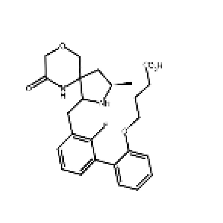 C[C@@H]1CC2(COCC(=O)N2)C(Cc2cccc(-c3ccccc3OCCCC(=O)O)c2F)N1